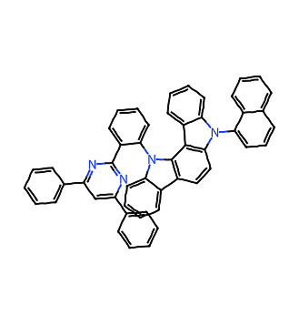 c1ccc(-c2cc(-c3ccccc3)nc(-c3ccccc3-n3c4ccccc4c4ccc5c(c6ccccc6n5-c5cccc6ccccc56)c43)n2)cc1